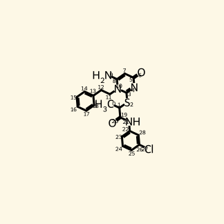 CC(Sc1nc(=O)cc(N)n1CCc1ccccc1)C(=O)Nc1cccc(Cl)c1